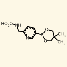 CC1(C)COB(c2ccc(CNC(=O)O)nc2)OC1